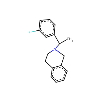 CC(c1cccc(F)c1)N1CCc2cc[c]cc2C1